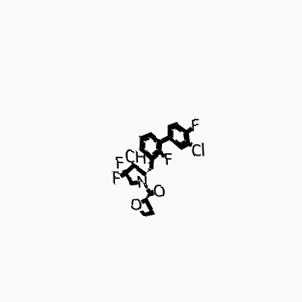 C[C@@H]1[C@H](Cc2cccc(-c3ccc(F)c(Cl)c3)c2F)N(C(=O)[C@H]2CCO2)CC1(F)F